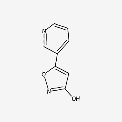 Oc1cc(-c2cccnc2)on1